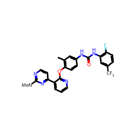 CNc1nccc(-c2cccnc2Oc2ccc(NC(=O)Nc3cc(C(F)(F)F)ccc3F)cc2C)n1